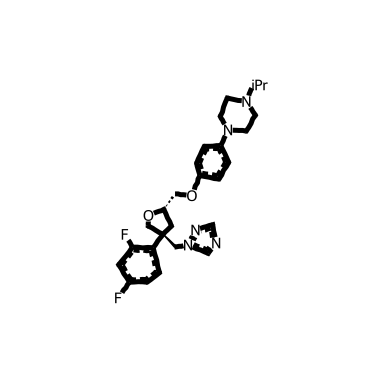 CC(C)N1CCN(c2ccc(OC[C@@H]3C[C@](Cn4cncn4)(c4ccc(F)cc4F)CO3)cc2)CC1